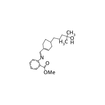 COC(=O)c1ccccc1N=CC1=CCC(CCCC(C)(C)O)CC1